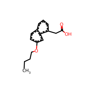 CCCCOc1ccc2cccc(CC(=O)O)c2c1